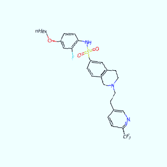 CCCCCCOc1ccc(NS(=O)(=O)c2ccc3c(c2)CCN(CCc2ccc(C(F)(F)F)nc2)C3)c(F)c1